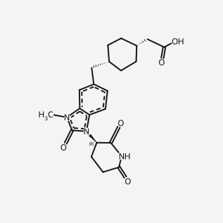 Cn1c(=O)n([C@@H]2CCC(=O)NC2=O)c2ccc(C[C@H]3CC[C@@H](CC(=O)O)CC3)cc21